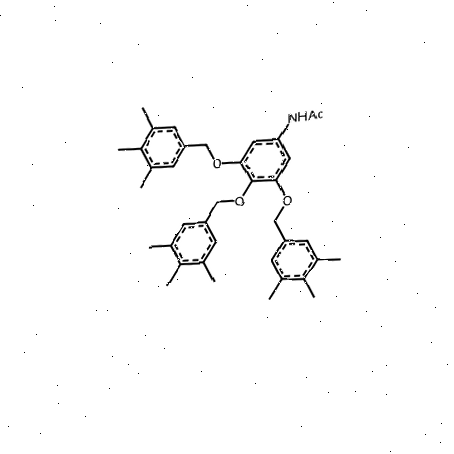 CC(=O)Nc1cc(OCc2cc(C)c(C)c(C)c2)c(OCc2cc(C)c(C)c(C)c2)c(OCc2cc(C)c(C)c(C)c2)c1